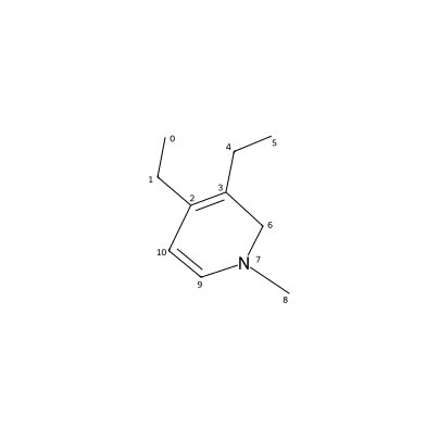 CCC1=C(CC)CN(C)C=C1